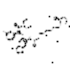 CC(=O)OC1CC2CC1C1C=CCC21.CCC(CC)C(=O)N(C)c1cccc(C)c1.CCCCCCC1CCCC1=O